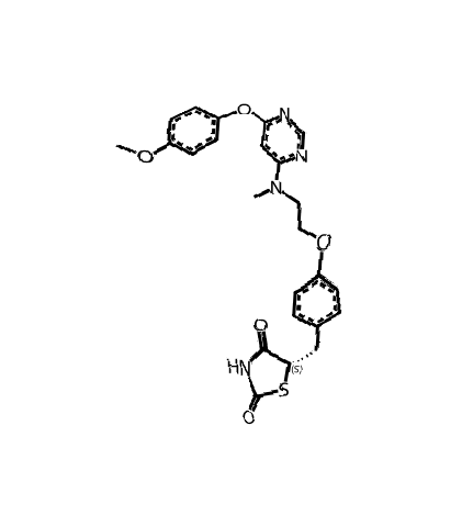 COc1ccc(Oc2cc(N(C)CCOc3ccc(C[C@@H]4SC(=O)NC4=O)cc3)ncn2)cc1